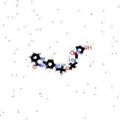 CC(C)(CNCC(=O)N1CC[C@@H](O)C1)COCC(C)(C)CNc1ccc(-c2nc3ccccc3c(=O)[nH]2)cc1